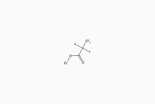 CCOC(=O)C(F)(I)C(F)(F)F